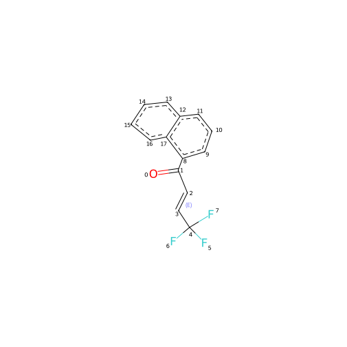 O=C(/C=C/C(F)(F)F)c1cccc2ccccc12